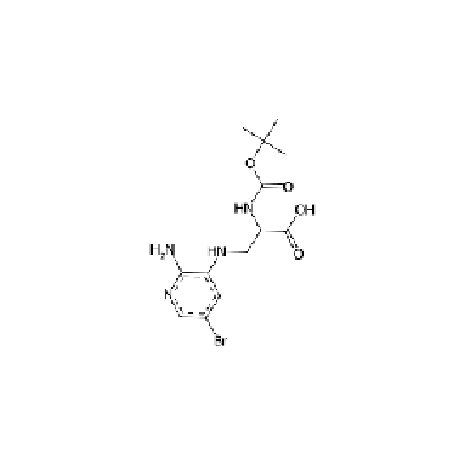 CC(C)(C)OC(=O)NC(CNc1cc(Br)cnc1N)C(=O)O